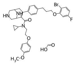 COc1ccc(OCCN(C(=O)C2=C(c3ccc(CCCOc4cc(F)ccc4Br)cc3)CC3CNCC2N3)C2CC2)cc1.O=CO